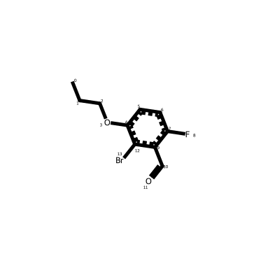 CCCOc1ccc(F)c(C=O)c1Br